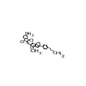 CCCCc1ccc(-c2cc3c(cc(/C=C4/C(=O)c5ccc(N)cc5C4=O)n3CC)o2)cc1